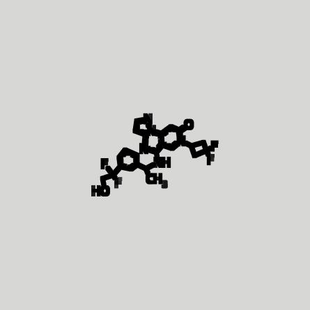 CC(Nc1nc2ccnn2c2cc(=O)n(C3CC(F)(F)C3)cc12)c1cccc(C(F)(F)CO)c1